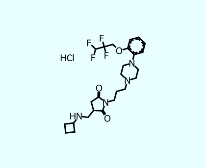 Cl.O=C1CC(CNC2CCC2)C(=O)N1CCCN1CCN(c2ccccc2OCC(F)(F)C(F)F)CC1